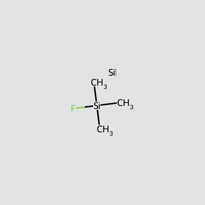 C[Si](C)(C)F.[Si]